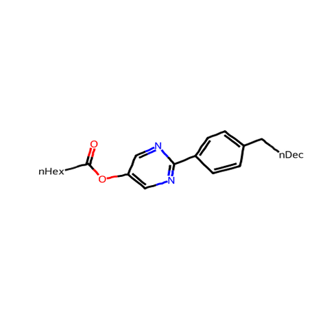 CCCCCCCCCCCc1ccc(-c2ncc(OC(=O)CCCCCC)cn2)cc1